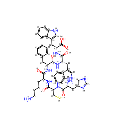 NCCCC[C@H](NC(=O)[C@H](CS)NC(=O)[C@@H](N)Cc1c[nH]cn1)C(=O)N[C@@H](Cc1ccccc1)C(=O)N[C@@H](Cc1c[nH]c2ccccc12)C(=O)N[C@@H](Cc1c[nH]c2ccccc12)C(=O)O